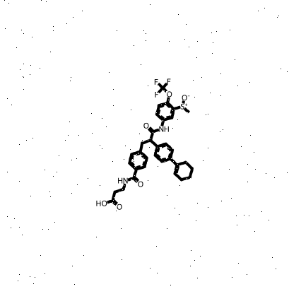 C[S+]([O-])c1cc(NC(=O)C(Cc2ccc(C(=O)NCCC(=O)O)cc2)c2ccc(C3=CCCCC3)cc2)ccc1OC(F)(F)F